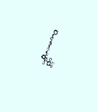 O=C1CCC(N2Cc3c(OCCOCCOCCOCCC4CCCCC4)cccc3C2=O)C(=O)N1